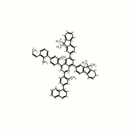 C/C=C\c1cccc(-c2ccc(-c3nc(-c4ccc(-c5cccc6cccnc56)cc4C)nc4c(-c5ccc6c(c5)C(C)(C)C5=C6C=CCC5)cc(-c5ccc6c(c5)C(C)(C)c5ccccc5-6)cc34)c(C)c2)c1N